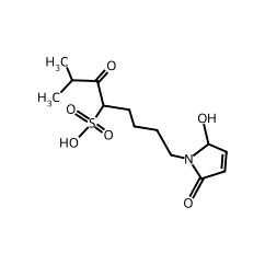 CC(C)C(=O)C(CCCCN1C(=O)C=CC1O)S(=O)(=O)O